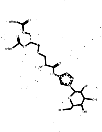 CCCCCCC(=O)OC[C@H](CSC[C@@H](N)C(=O)Nc1cn(C2OC(CO)C(O)C(O)C2O)nn1)OC(=O)CCCCCC